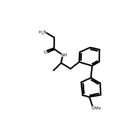 COc1ccc(-c2ccccc2CC(C)NC(=O)CN)cc1